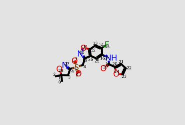 CC1(C)CC(S(=O)(=O)Cc2noc3cc(F)c(NC(=O)c4ccco4)cc23)=NO1